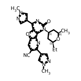 CC[C@H]1C[C@@H](n2c(=O)nc(-c3cnn(C)c3)c3oc4cc(C#N)c(-c5cnn(C)c5)nc4c32)C[C@@H](C)O1